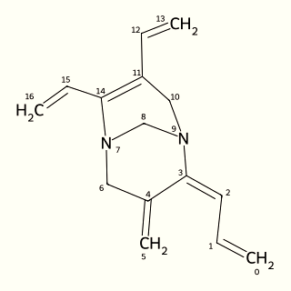 C=C/C=C1\C(=C)CN2CN1CC(C=C)=C2C=C